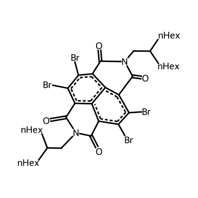 CCCCCCC(CCCCCC)CN1C(=O)c2c(Br)c(Br)c3c4c(c(Br)c(Br)c(c24)C1=O)C(=O)N(CC(CCCCCC)CCCCCC)C3=O